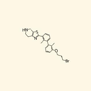 Cc1c(OCCCBr)cccc1-c1cccc(-c2nc3c(s2)CNCC3)c1C